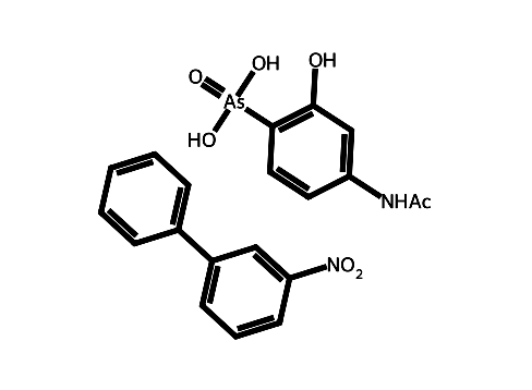 CC(=O)Nc1ccc([As](=O)(O)O)c(O)c1.O=[N+]([O-])c1cccc(-c2ccccc2)c1